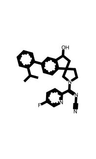 CC(C)c1ccccc1-c1ccc2c(c1)C(O)CC21CCN(C(=NC#N)c2ccc(F)cn2)C1